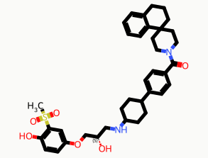 CS(=O)(=O)c1cc(OC[C@@H](O)CNC2CCC(c3ccc(C(=O)N4CCC5(CCCc6ccccc65)CC4)cc3)CC2)ccc1O